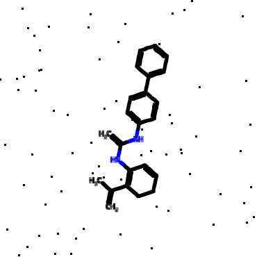 C=C(NC1=C(C(=C)C)CCC=C1)Nc1ccc(-c2ccccc2)cc1